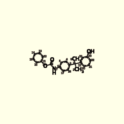 CC(C)(c1ccc(NC(=O)Oc2ccccc2)cc1)c1cccc(O)c1